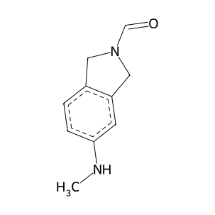 CNc1ccc2c(c1)CN(C=O)C2